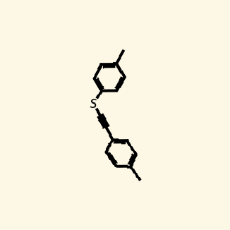 Cc1ccc(C#CSc2ccc(C)cc2)cc1